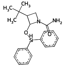 CC(C)(C)C1CN(C(N)=O)C1O[SiH](c1ccccc1)c1ccccc1